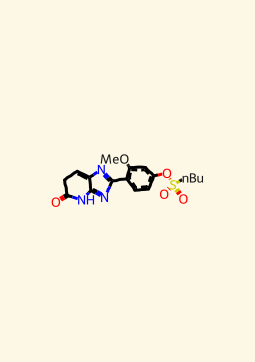 CCCCS(=O)(=O)Oc1ccc(C2=NC3=CCC(=O)NC3=N2)c(OC)c1